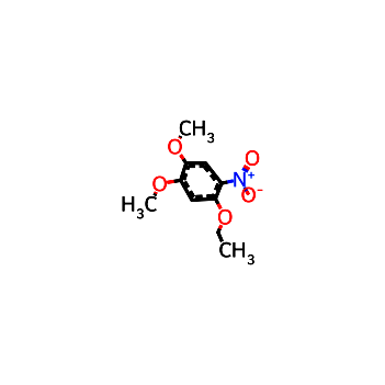 CCOc1cc(OC)c(OC)cc1[N+](=O)[O-]